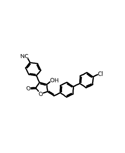 N#Cc1ccc(C2=C(O)/C(=C\c3ccc(-c4ccc(Cl)cc4)cc3)OC2=O)cc1